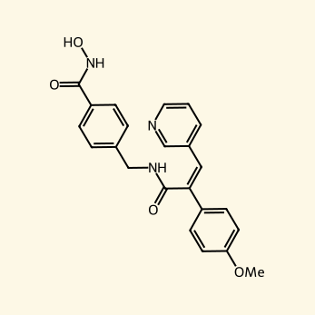 COc1ccc(C(=Cc2cccnc2)C(=O)NCc2ccc(C(=O)NO)cc2)cc1